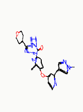 Cc1nc(-n2nc(C3CCOCC3)[nH]c2=O)ccc1Oc1ccnc(-c2cnn(C)c2)c1